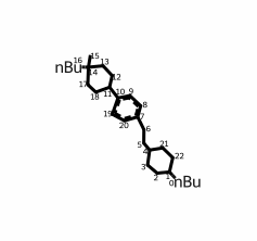 CCCCC1CCC(CCc2ccc(C3CCC(C)(CCCC)CC3)cc2)CC1